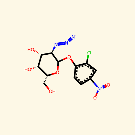 [N-]=[N+]=N[C@H]1C(Oc2ccc([N+](=O)[O-])cc2Cl)O[C@H](CO)[C@H](O)[C@@H]1O